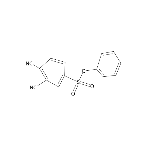 N#Cc1ccc(S(=O)(=O)Oc2ccccc2)cc1C#N